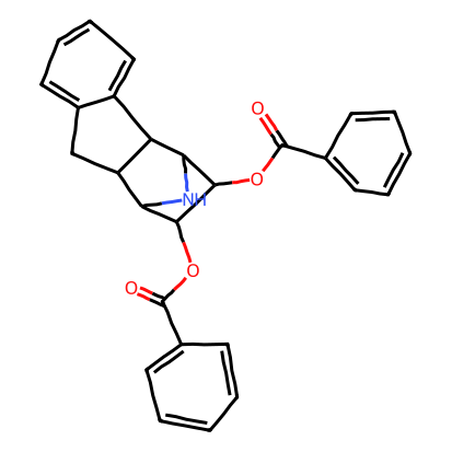 O=C(OC1C2NC(C1OC(=O)c1ccccc1)C1c3ccccc3CC21)c1ccccc1